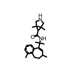 Cc1cccc2c1CCC(C)C=C2C(C)(C)NC(=O)C1C2(C)CNCC12C